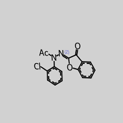 CC(=O)N(/N=C1\Oc2ccccc2C1=O)c1ccccc1Cl